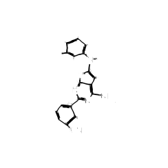 CN(c1cccc(F)c1)c1cc2c(N)nc(-c3cccc(C#N)c3)nc2s1